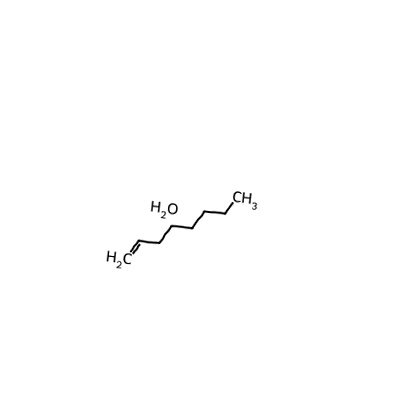 C=CCCCCCC.O